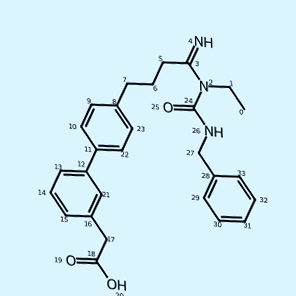 CCN(C(=N)CCCc1ccc(-c2cccc(CC(=O)O)c2)cc1)C(=O)NCc1ccccc1